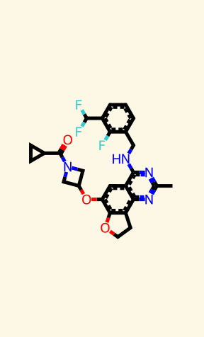 Cc1nc(NCc2cccc(C(F)F)c2F)c2cc(OC3CN(C(=O)C4CC4)C3)c3c(c2n1)CCO3